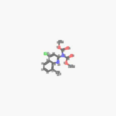 CC(C)(C)OC(=O)N(C(=O)OC(C)(C)C)c1cc(Cl)c2cccc(C(F)(F)F)c2n1